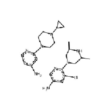 CC1CN(c2ncc(N)cc2Cl)CC(C)N1.Nc1ccnc(N2CCN(C3CC3)CC2)c1